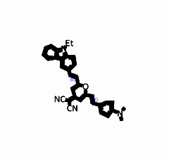 CCn1c2ccccc2c2cc(/C=C/C3=CC(=C(C#N)C#N)C=C(/C=C/c4ccc(N(C)C)cc4)O3)ccc21